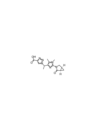 Cc1c(C(C)n2cc(C(=O)O)nn2)nc(N2C[C@H]3C[C@H]3C2=O)n1C